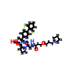 O=C(CCOCCCN1CCCC1)NCC(=O)N1CCCC1C(=O)NC(CO)c1ccc(-c2c(F)cccc2F)cc1